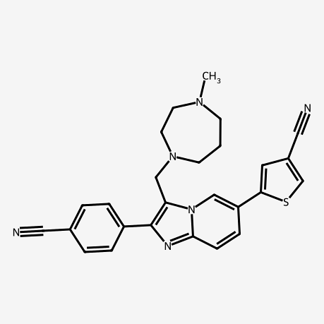 CN1CCCN(Cc2c(-c3ccc(C#N)cc3)nc3ccc(-c4cc(C#N)cs4)cn23)CC1